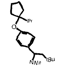 CNC(CC(C)(C)C)c1ccc(OC2(C(C)C)CCCC2)cc1